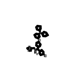 Clc1ccc(C([SiH2]Cn2cncn2)c2ccc(Cl)cc2)cc1.c1ccc(B(c2ccccc2)c2ccccc2)cc1